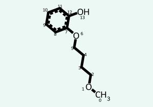 COCCCCOc1ccccc1O